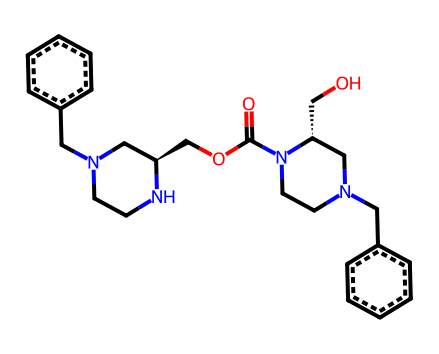 O=C(OC[C@@H]1CN(Cc2ccccc2)CCN1)N1CCN(Cc2ccccc2)C[C@H]1CO